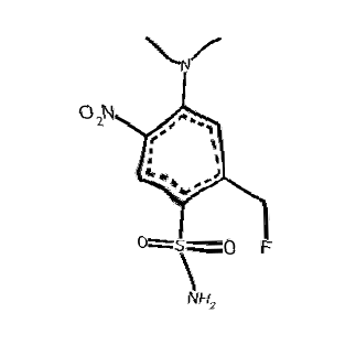 CN(C)c1cc(CF)c(S(N)(=O)=O)cc1[N+](=O)[O-]